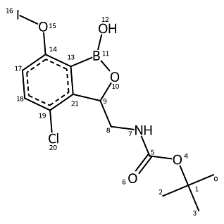 CC(C)(C)OC(=O)NCC1OB(O)c2c(OI)ccc(Cl)c21